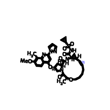 COc1ccc2c(O[C@@H]3C[C@H]4C(=O)N[C@]5(C(=O)NS(=O)(=O)C6CC6)C[C@H]5/C=C\CCCCO[C@H](C)C(=O)N4C3)cc(-n3cccn3)nc2c1C